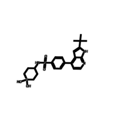 CC(C)(C)c1cc2c(-c3ccc(S(=O)(=O)NC4CCS(O)(O)CC4)cc3)ccnc2[nH]1